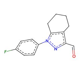 O=Cc1nn(-c2ccc(F)cc2)c2c1CCCC2